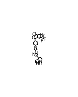 O=C(c1cc(C(F)(F)F)ncc1Cl)N1CCC(N2CC(n3cc(-c4ccnc5[nH]ccc45)cn3)C2)CC1